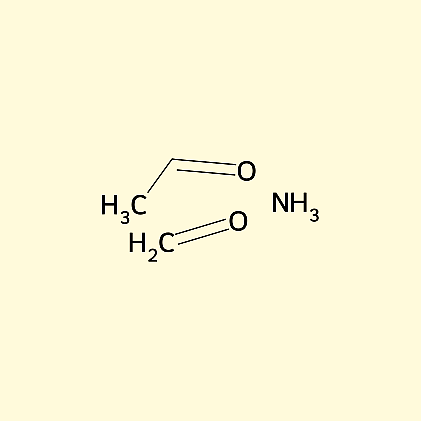 C=O.CC=O.N